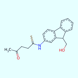 CC(=O)CCC(=S)Nc1ccc2c(c1)C(CO)c1ccccc1-2